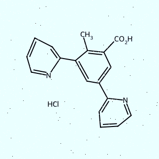 Cc1c(C(=O)O)cc(-c2ccccn2)cc1-c1ccccn1.Cl